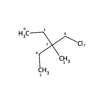 CCC(C)(CC)CCl